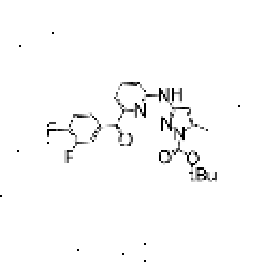 Cc1cc(Nc2cccc(C(=O)c3ccc(F)c(F)c3)n2)nn1C(=O)OC(C)(C)C